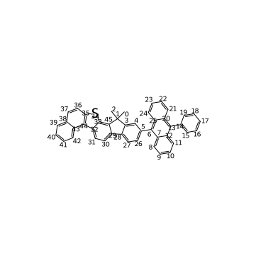 CC1(C)c2cc(-c3c4ccccc4c(-c4ccccc4)c4ccccc34)ccc2-c2ccc3c(sc4ccc5ccccc5c43)c21